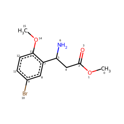 COC(=O)CC(N)c1cc(Br)ccc1OC